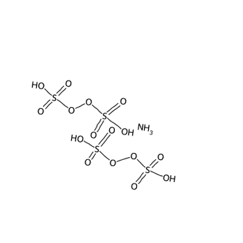 N.O=S(=O)(O)OOS(=O)(=O)O.O=S(=O)(O)OOS(=O)(=O)O